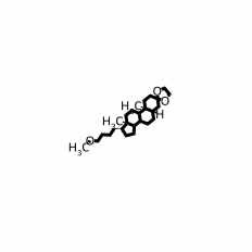 COCCCC[C@H]1CCC2C3CC[C@H]4CC5(CC[C@]4(C)C3CC[C@@]21C)OCCO5